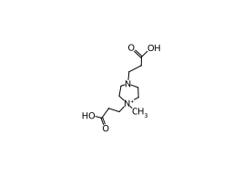 C[N+]1(CCC(=O)O)CCN(CCC(=O)O)CC1